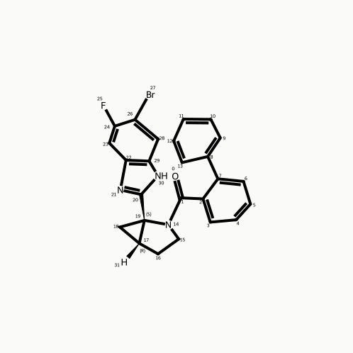 O=C(c1ccccc1-c1ccccc1)N1CC[C@@H]2C[C@@]21c1nc2cc(F)c(Br)cc2[nH]1